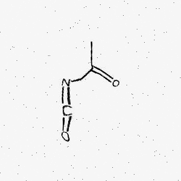 CC(=O)N=C=O